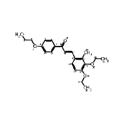 CCCOc1ccc(C(=O)C=Cc2ccc(OCC)c(OCC)c2C)cc1